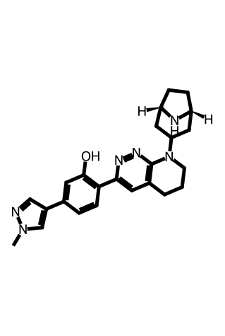 Cn1cc(-c2ccc(-c3cc4c(nn3)N(C3C[C@H]5CC[C@@H](C3)N5)CCC4)c(O)c2)cn1